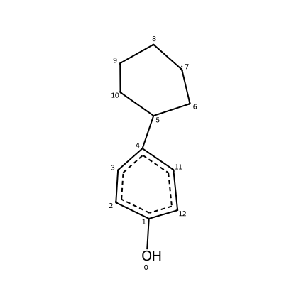 Oc1ccc(C2C[CH]CCC2)cc1